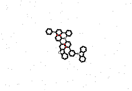 c1ccc(-c2ccc(-c3ccccc3N(c3ccc(-c4cccc(-n5c6ccccc6c6ccccc65)c4)cc3)c3ccccc3-c3ccc4c(c3)oc3ccccc34)cc2)cc1